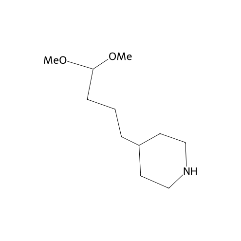 COC(CCCC1CCNCC1)OC